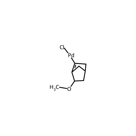 COC1CC2C[C]([Pd][Cl])=C1C2